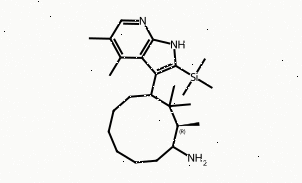 Cc1cnc2[nH]c([Si](C)(C)C)c(C3CCCCCCC(N)[C@H](C)C3(C)C)c2c1C